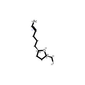 CC(=O)/C=C/CCC[C@@H]1CC[C@H](CI)O1